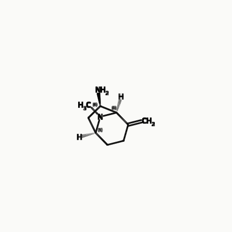 C=C1CC[C@H]2C[C@@H](N)[C@@H]1N2C